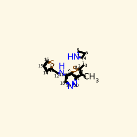 Cc1c(C[C@H]2CCN2)sc2c(NCc3cccs3)cnnc12